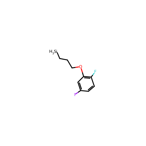 Fc1ccc(I)cc1OCCC[SiH3]